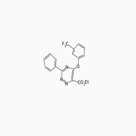 CCOC(=O)c1nnc(-c2ccccc2)nc1Oc1cccc(C(F)(F)F)c1